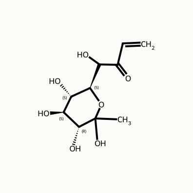 C=CC(=O)C(O)[C@H]1OC(C)(O)[C@H](O)[C@@H](O)[C@@H]1O